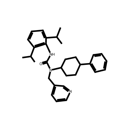 CC(C)c1cccc(C(C)C)c1NC(=O)N(Cc1cccnc1)C1CCC(c2ccccc2)CC1